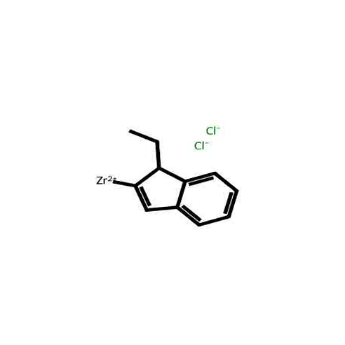 CCC1[C]([Zr+2])=Cc2ccccc21.[Cl-].[Cl-]